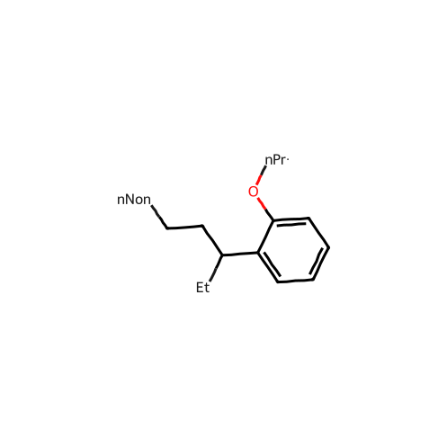 CC[CH]Oc1ccccc1C(CC)CCCCCCCCCCC